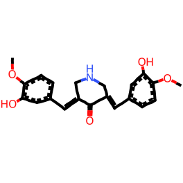 COc1ccc(/C=C2\CNC/C(=C\c3ccc(OC)c(O)c3)C2=O)cc1O